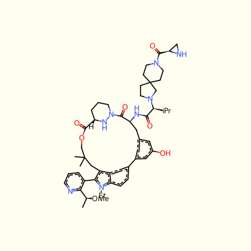 CCn1c(-c2cccnc2[C@H](C)OC)c2c3cc(ccc31)-c1cc(O)cc(c1)C[C@H](NC(=O)[C@H](C(C)C)N1CCC3(CCN(C(=O)[C@H]4CN4)CC3)C1)C(=O)N1CCC[C@H](N1)C(=O)OCC(C)(C)C2